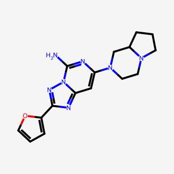 Nc1nc(N2CCN3CCCC3C2)cc2nc(-c3ccco3)nn12